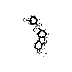 O=C(O)N1CCC2c3cc(S(=O)(=O)c4cccc(Cl)c4)ccc3OC2C1